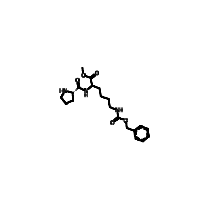 COC(=O)C(CCCCNC(=O)OCc1ccccc1)NC(=O)[C@@H]1CCCN1